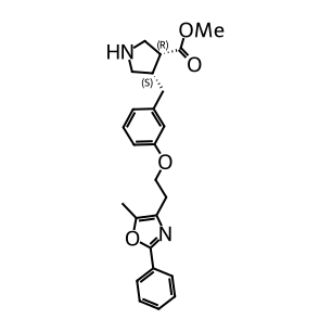 COC(=O)[C@H]1CNC[C@H]1Cc1cccc(OCCc2nc(-c3ccccc3)oc2C)c1